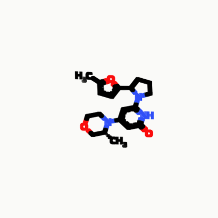 Cc1ccc(C2CCCN2c2cc(N3CCOC[C@H]3C)cc(=O)[nH]2)o1